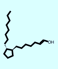 CCCCCCCC[C@H]1CCC[C@@H]1CCCCCC=CO